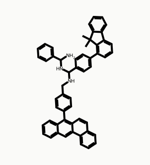 CC1(C)c2ccccc2-c2cccc(-c3ccc(C(NCc4ccc(-c5c6ccccc6cc6c5ccc5ccccc56)cc4)NC(N)c4ccccc4)cc3)c21